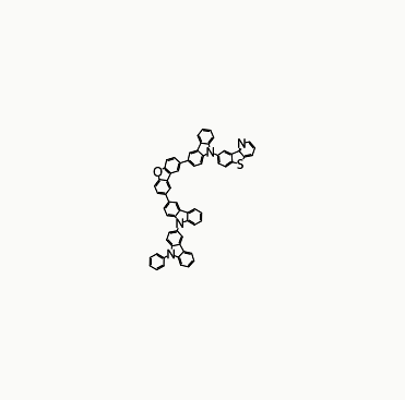 c1ccc(-n2c3ccccc3c3cc(-n4c5ccccc5c5cc(-c6ccc7oc8ccc(-c9ccc%10c(c9)c9ccccc9n%10-c9ccc%10sc%11cccnc%11c%10c9)cc8c7c6)ccc54)ccc32)cc1